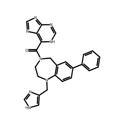 O=C(c1[nH]cnc2ncnc1-2)N1CCN(Cc2c[nH]cn2)c2ccc(-c3ccccc3)cc2C1